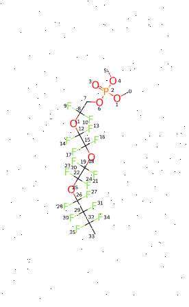 COP(=O)(OC)OCC(F)(F)OC(F)(F)C(F)(F)OC(F)(F)C(F)(F)OC(F)(F)C(F)(F)C(C)(F)F